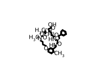 Cc1ccc(OCCCCN(C)C(=O)OC(C)(C)C)cc1CNC(=O)[C@H](CCc1ccccc1)NC(=O)CCCCC(=O)O